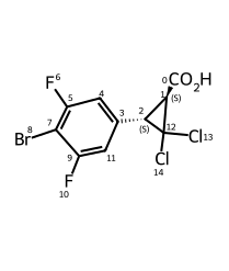 O=C(O)[C@@H]1[C@@H](c2cc(F)c(Br)c(F)c2)C1(Cl)Cl